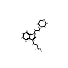 NCCc1cn(CCN2CCOCC2)c2ccccc12